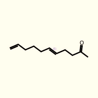 C=CCCC/C=C/CCC(C)=O